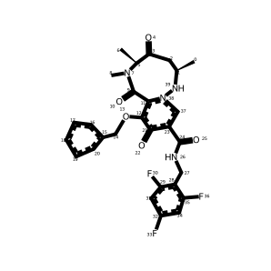 C[C@@H]1CC(=O)[C@H](C)N(C)C(=O)c2c(OCc3ccccc3)c(=O)c(C(=O)NCc3c(F)cc(F)cc3F)cn2N1